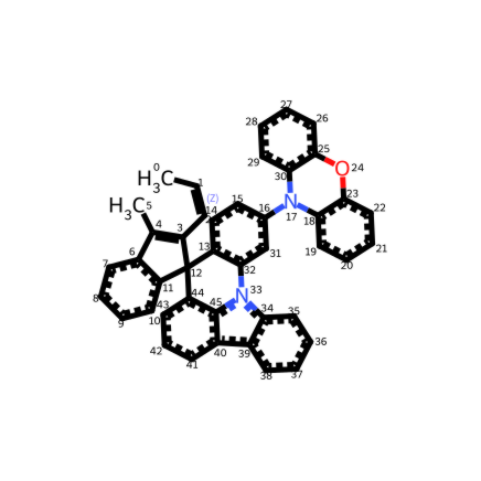 C/C=C\C1=C(C)c2ccccc2C12c1ccc(N3c4ccccc4Oc4ccccc43)cc1-n1c3ccccc3c3cccc2c31